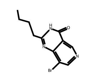 CCCCc1nc2c(Br)cncc2c(=O)[nH]1